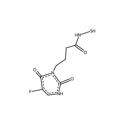 O=C(CCCn1c(=O)[nH]cc(F)c1=O)NS